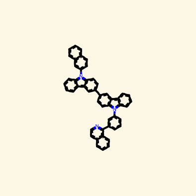 c1cc(-c2nccc3ccccc23)cc(-n2c3ccccc3c3cc(-c4ccc5c(c4)c4ccccc4n5-c4ccc5ccccc5c4)ccc32)c1